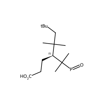 CC(C)(C)CC(C)(C)[C@H](CCC(=O)O)C(C)(C)P=O